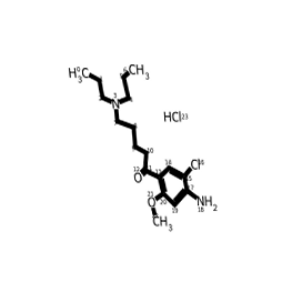 CCCN(CCC)CCCCC(=O)c1cc(Cl)c(N)cc1OC.Cl